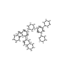 c1ccc(-c2nc(-c3ccccc3)nc(-c3cccc(-c4nc(-c5cc6ccccc6cn5)c5c(n4)sc4ccccc45)c3)n2)cc1